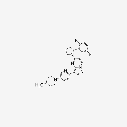 CC1CCN(c2ccc(-c3cnn4ccc(N5CCCC5c5cc(F)ccc5F)nc34)nc2)CC1